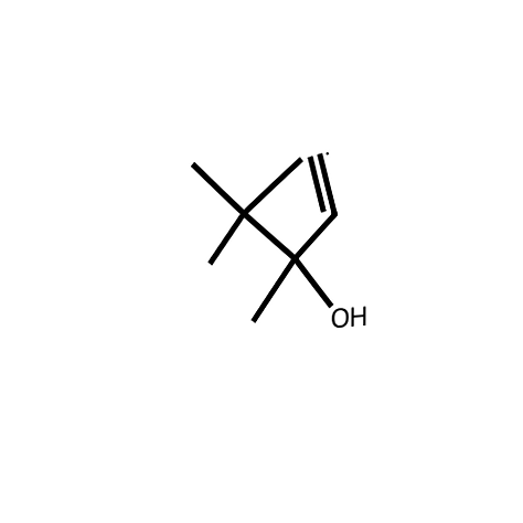 [CH]=CC(C)(O)C(C)(C)C